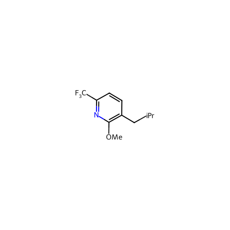 COc1nc(C(F)(F)F)ccc1CC(C)C